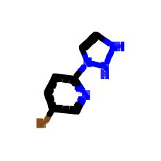 Brc1ccc(N2C=CNN2)nc1